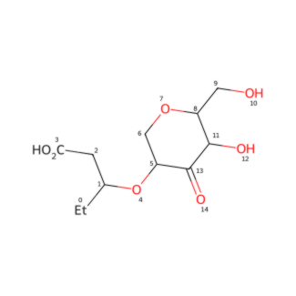 CCC(CC(=O)O)OC1COC(CO)C(O)C1=O